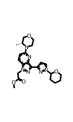 COC(=O)Cn1nc(-c2ccn(C3CCCCO3)n2)c2nc(N3CCOC[C@H]3C)ccc21